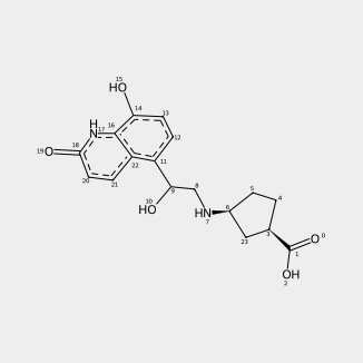 O=C(O)[C@@H]1CC[C@H](NCC(O)c2ccc(O)c3[nH]c(=O)ccc23)C1